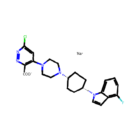 O=C([O-])c1nnc(Cl)cc1N1CCN([C@H]2CC[C@@H](n3ccc4c(F)cccc43)CC2)CC1.[Na+]